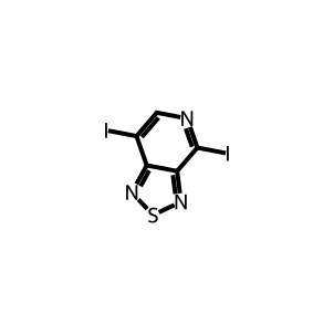 Ic1cnc(I)c2nsnc12